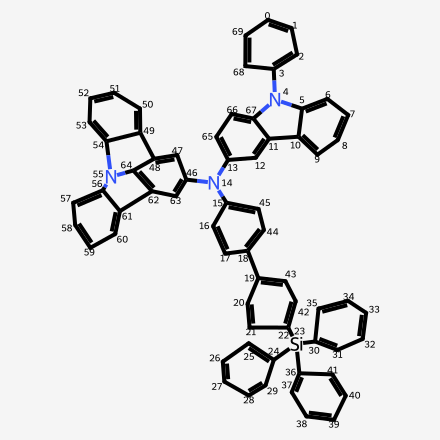 c1ccc(-n2c3ccccc3c3cc(N(c4ccc(-c5ccc([Si](c6ccccc6)(c6ccccc6)c6ccccc6)cc5)cc4)c4cc5c6ccccc6n6c7ccccc7c(c4)c56)ccc32)cc1